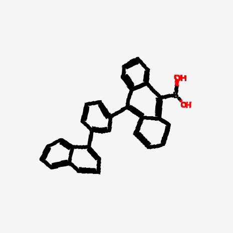 OB(O)c1c2ccccc2c(-c2cccc(-c3cccc4ccccc34)c2)c2ccccc12